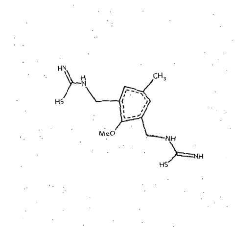 COc1c(CNC(=N)S)cc(C)cc1CNC(=N)S